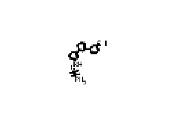 CC(C)(P)C(C)(C)OBC1=CCCC(C2=CC(C3C=CC=C(O)C3)=CCC2)=C1